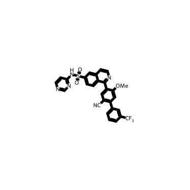 COc1cc(-c2cccc(C(F)(F)F)c2)c(C#N)cc1-c1nccc2cc(S(=O)(=O)Nc3ccncn3)ccc12